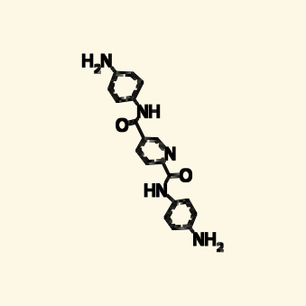 Nc1ccc(NC(=O)c2ccc(C(=O)Nc3ccc(N)cc3)nc2)cc1